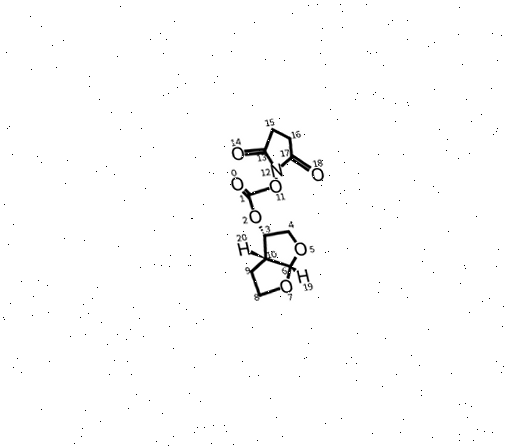 O=C(O[C@@H]1CO[C@@H]2OCC[C@@H]21)ON1C(=O)CCC1=O